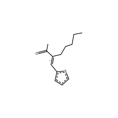 CCCCC/C(=C\c1cccs1)C(C)=O